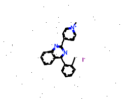 Cc1ccccc1-c1nc(-c2cc[n+](C)cc2)nc2ccccc12.[I-]